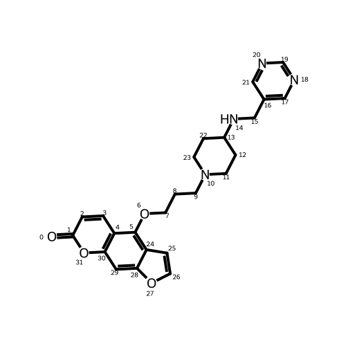 O=c1ccc2c(OCCCN3CCC(NCc4cncnc4)CC3)c3ccoc3cc2o1